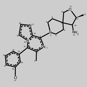 Cc1nc(N2CCC3(CC2)CO[C@@H](C)C3N)c2nccn2c1-c1cccc(Cl)c1